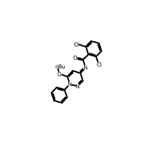 CCCCOc1c/c(=N\C(=O)c2c(Cl)cccc2Cl)cnn1-c1ccccc1